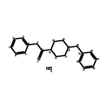 Cl.O=C(Cc1ccccc1)C1CCN(Cc2ccccc2)CC1